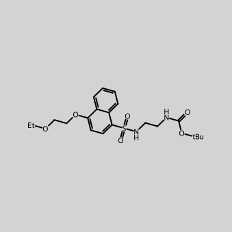 CCOCCOc1ccc(S(=O)(=O)NCCNC(=O)OC(C)(C)C)c2ccccc12